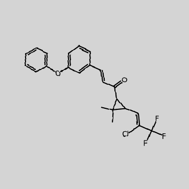 CC1(C)C(/C=C(\Cl)C(F)(F)F)C1C(=O)/C=C/c1cccc(Oc2ccccc2)c1